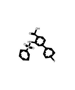 O=C(O)c1ccc(-c2ccc(F)cc2)cc1NS(=O)(=O)c1ccccc1